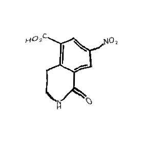 O=C(O)c1cc([N+](=O)[O-])cc2c1CCNC2=O